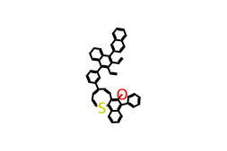 C=Cc1c(C=C)c(-c2ccc3ccccc3c2)c2c(c1-c1cccc(-c3cccsc4c5ccccc5c5c6ccccc6oc5c4cc3)c1)=CCCC=2